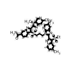 CCS(=O)(=O)c1c(-c2nc3cc(C(F)(F)F)cnc3n2CCCS(=O)(=O)c2c(-c3nc4cc(C(F)(F)F)ncc4n3C)nn3cc(C(N)=O)ccc23)nn2ccc(C)cc12